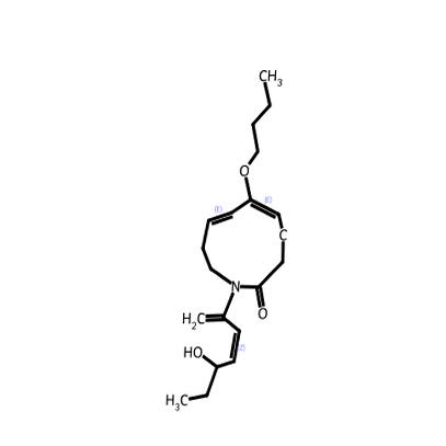 C=C(/C=C\C(O)CC)N1CC/C=C/C(OCCCC)=C\CCC1=O